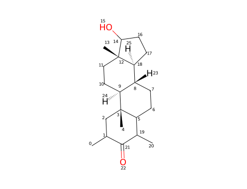 CC1C[C@@]2(C)C(CC[C@@H]3[C@@H]2CC[C@]2(C)C(O)CC[C@@H]32)C(C)C1=O